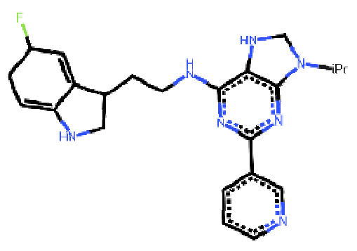 CC(C)N1CNc2c(NCCC3CNC4=CCC(F)C=C43)nc(-c3cccnc3)nc21